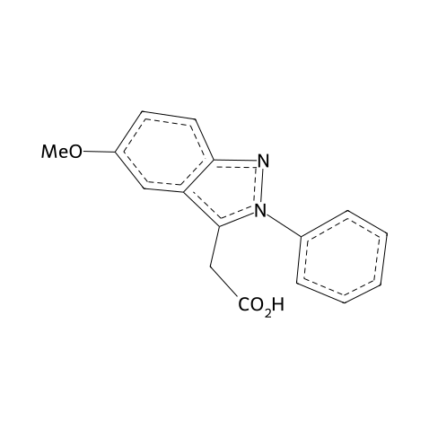 COc1ccc2nn(-c3ccccc3)c(CC(=O)O)c2c1